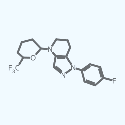 Fc1ccc(-n2ncc3c2CCCN3C2CCCC(C(F)(F)F)O2)cc1